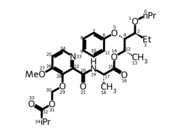 CCCO[C@@H](CC)[C@@H](Oc1ccccc1)[C@H](C)OC(=O)[C@H](C)NC(=O)c1nccc(OC)c1OCOC(=O)C(C)C